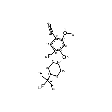 COc1cc(O[C@H]2CC[C@H](C(F)(F)F)CC2)c(F)cc1C#N